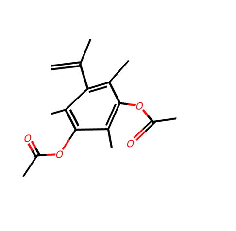 C=C(C)c1c(C)c(OC(C)=O)c(C)c(OC(C)=O)c1C